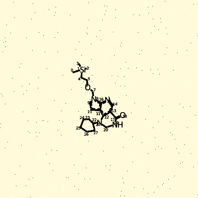 C[Si](C)(C)CCOCn1ccc2c3c(cnc21)C(=O)NCN3C1CCCCC1